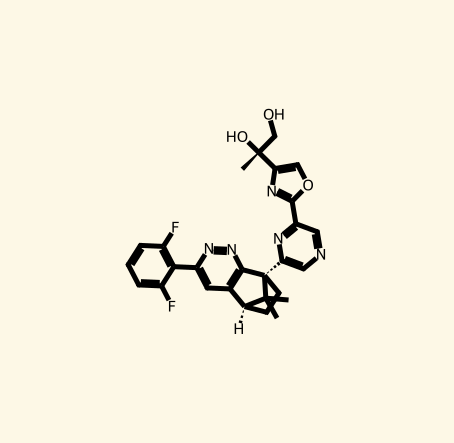 CC1(C)[C@H]2CC[C@]1(c1cncc(-c3nc([C@](C)(O)CO)co3)n1)c1nnc(-c3c(F)cccc3F)cc12